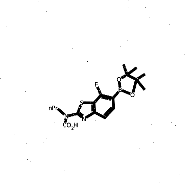 CCCN(C(=O)O)c1nc2ccc(B3OC(C)(C)C(C)(C)O3)c(F)c2s1